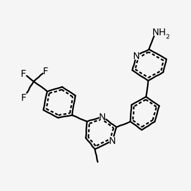 Cc1cc(-c2ccc(C(F)(F)F)cc2)nc(-c2cccc(-c3ccc(N)nc3)c2)n1